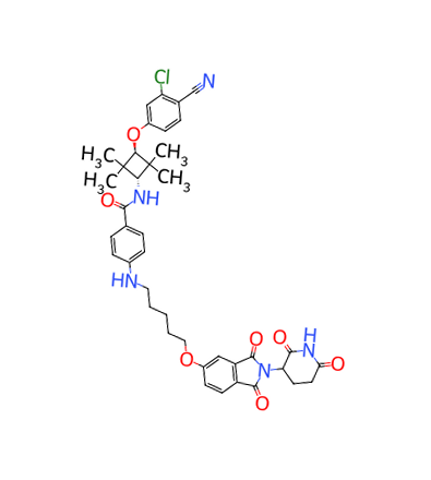 CC1(C)[C@H](NC(=O)c2ccc(NCCCCCOc3ccc4c(c3)C(=O)N(C3CCC(=O)NC3=O)C4=O)cc2)C(C)(C)[C@H]1Oc1ccc(C#N)c(Cl)c1